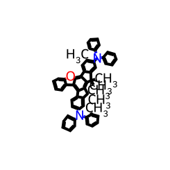 Cc1ccccc1N(c1ccccc1)c1ccc2c(c1)C(C)(C)c1c3c(c4c(oc5ccccc54)c1-2)-c1ccc(N(c2ccccc2)c2ccccc2C)cc1C3(C)C